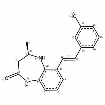 C[C@@H]1CC(=O)Nc2cccc(/C=C/c3cccc(O)c3)c2N1